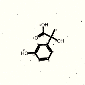 CC(O)(C(=O)O)c1cccc(O)c1